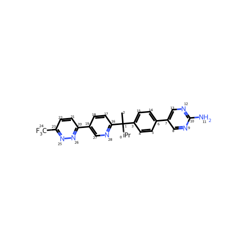 CC(C)C(C)(c1ccc(-c2cnc(N)nc2)cc1)c1ccc(-c2ccc(C(F)(F)F)nn2)cn1